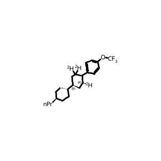 [2H][C@@H]1C[C@@H]([C@H]2CC[C@H](CCC)CC2)CC([2H])([2H])C1c1ccc(OC(F)(F)F)cc1